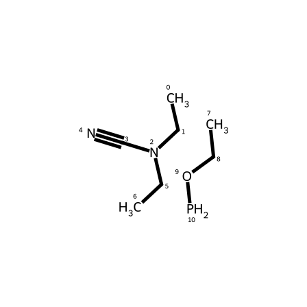 CCN(C#N)CC.CCOP